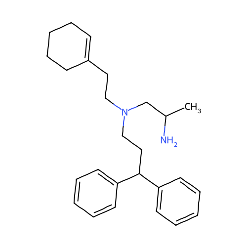 CC(N)CN(CCC1=CCCCC1)CCC(c1ccccc1)c1ccccc1